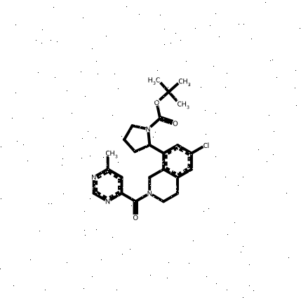 Cc1cc(C(=O)N2CCc3cc(Cl)cc(C4CCCN4C(=O)OC(C)(C)C)c3C2)ncn1